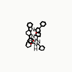 C1=CCCC(C2NC(C3=CCCC=C3)=NC(c3ccccc3-n3c4c(c5ccccc53)CCc3c-4n(-c4cccc(-c5ccccc5)c4)c4ccccc34)N2)=C1